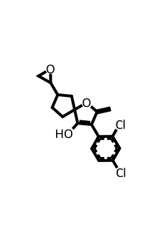 C=C1OC2(CCC(C3CO3)C2)C(O)=C1c1ccc(Cl)cc1Cl